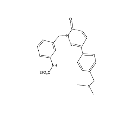 CCOC(=O)Nc1cccc(Cn2nc(-c3ccc(CN(C)C)cc3)ccc2=O)c1